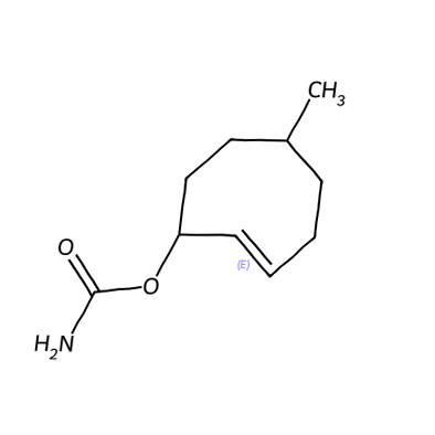 CC1CC/C=C/C(OC(N)=O)CC1